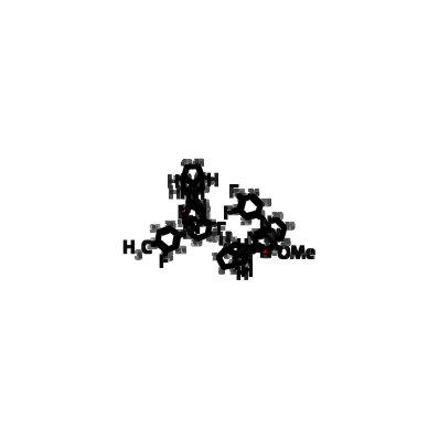 COc1cc(N2C[C@H]3CC[C@@H](C2)[C@H]3Nc2nc3n(n2)CCCN3c2ccc(F)c(F)c2)ccn1.Cc1ccc(N2CCCn3nc(N[C@H]4[C@@H]5CC[C@H]4CN(c4ccnc(C(F)(F)F)c4)C5)nc32)cc1F